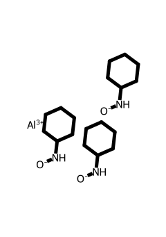 [Al+3].[O-]NC1CCCCC1.[O-]NC1CCCCC1.[O-]NC1CCCCC1